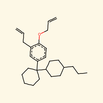 C=CCOc1ccc(C2(C3CCC(CCC)CC3)CCCCC2)cc1CC=C